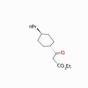 CCC[C@H]1CC[C@H](C(=O)CC(=O)OCC)CC1